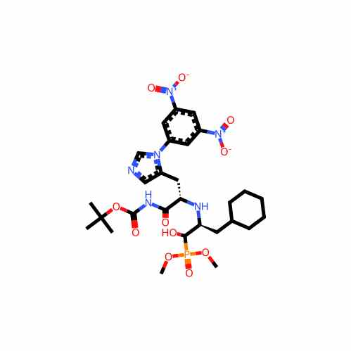 COP(=O)(OC)C(O)[C@H](CC1CCCCC1)N[C@@H](Cc1cncn1-c1cc([N+](=O)[O-])cc([N+](=O)[O-])c1)C(=O)NC(=O)OC(C)(C)C